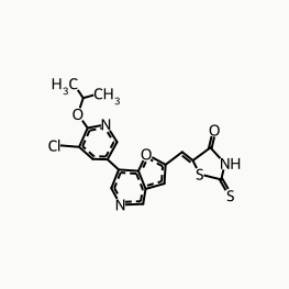 CC(C)Oc1ncc(-c2cncc3cc(/C=C4\SC(=S)NC4=O)oc23)cc1Cl